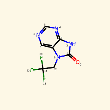 O=c1[nH]c2ncncc2n1CC(F)(F)F